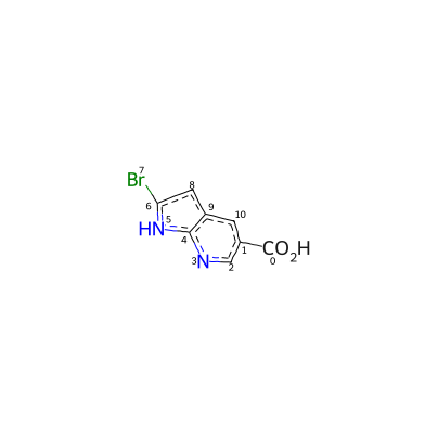 O=C(O)c1cnc2[nH]c(Br)cc2c1